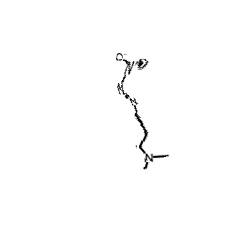 CN(C)[CH]CCN=N[N+](=O)[O-]